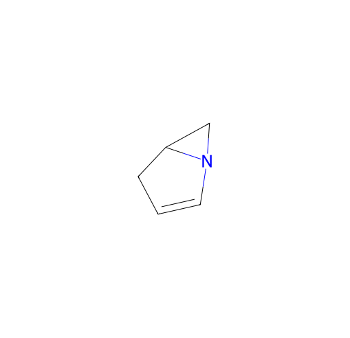 C1=CN2CC2C1